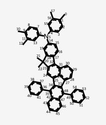 Cc1ccc(N(c2ccc(C)c(C)c2)c2ccc3c(c2)C(C)(C)c2cc4c5c(cccc5c2-3)-c2c-4c(-c3ccccc3)c3ccccc3c2-c2ccccc2)cc1C